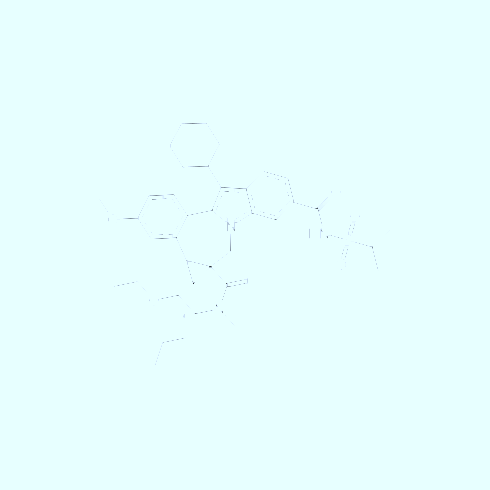 CCC[C@H](COCC)N(C)C(=O)C12CC1c1cc(OC)ccc1-c1c(C3CCCCC3)c3ccc(C(=O)NS(=O)(=O)C(C)C)cc3n1C2